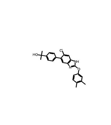 Cc1ccc(Oc2nc3cc(-c4ccc(C(C)(C)O)cc4)c(Cl)cc3[nH]2)cc1C